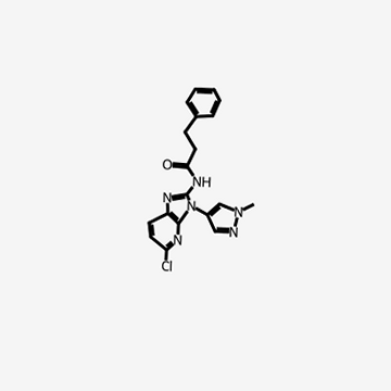 Cn1cc(-n2c(NC(=O)CCc3ccccc3)nc3ccc(Cl)nc32)cn1